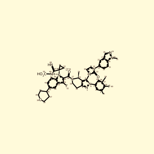 Cc1cc(-n2nc3c(c2-n2ccn(-c4ccc5c(cnn5C)c4)c2=O)[C@H](C)N(C(=O)c2c(F)c4cc(C5CCOCC5)ccc4n2[C@@]2(C(=N)NC(=O)O)C[C@@H]2C)CC3)cc(C)c1F